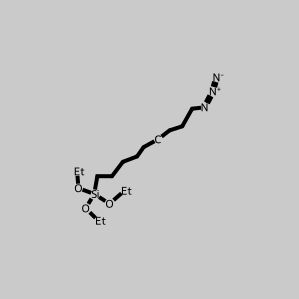 CCO[Si](CCCCCCCCCN=[N+]=[N-])(OCC)OCC